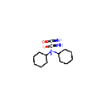 C1CCC(NC2CCCCC2)CC1.N=C=O.N=C=O